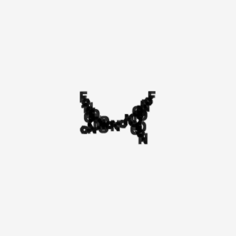 Cc1cc(F)ccc1N1CCN(S(=O)(=O)N2CCCN(CC3CCCCC3)CCCN(S(=O)(=O)c3ccc(N(C)CC4CCCC(CN5CCCN(S(=O)(=O)c6ccc(N(C)C)cc6)C[C@H](C)CN(S(=O)(=O)N6CCN(c7ccc(F)cc7C)C[C@@H]6C)CCC5)C4)cc3)C[C@H](C)C2)CC1